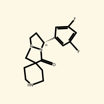 O=C1N2[C@@H](c3cc(F)cc(F)c3)CCN2CC12CCNCC2